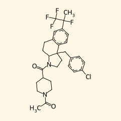 CC(=O)N1CCC(C(=O)N2CCC3(Cc4ccc(Cl)cc4)c4ccc(C(C)(F)C(F)(F)F)cc4CCC23)CC1